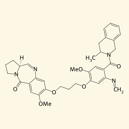 C=Nc1cc(OCCCOc2cc3c(cc2OC)C(=O)N2CCC[C@H]2C=N3)c(OC)cc1C(=O)N1Cc2ccccc2CC1C